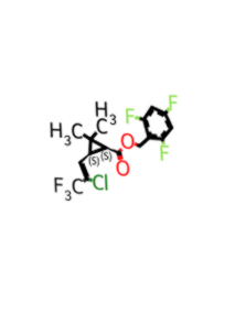 CC1(C)[C@H](C=C(Cl)C(F)(F)F)[C@@H]1C(=O)OCc1c(F)cc(F)cc1F